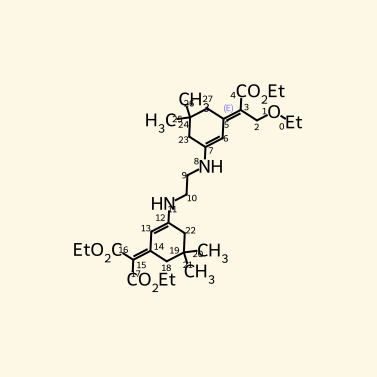 CCOC/C(C(=O)OCC)=C1\C=C(NCCNC2=CC(=C(C(=O)OCC)C(=O)OCC)CC(C)(C)C2)CC(C)(C)C1